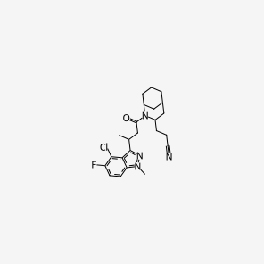 CC(CC(=O)N1C(CCC#N)CC2CCCC1C2)c1nn(C)c2ccc(F)c(Cl)c12